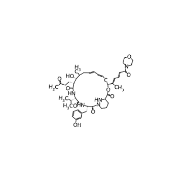 CC(=O)CC[C@H]1C(=O)N[C@@H](C(C)C)C(=O)N[C@@H](Cc2cccc(O)c2)C(=O)N2CCCC(N2)C(=O)O[C@H](/C(C)=C/C=C/C(=O)N2CCOCC2)C/C=C/C=C/C[C@H](C)[C@H]1O